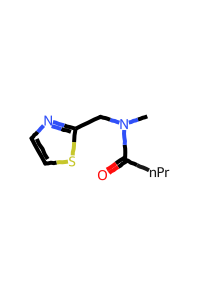 CCCC(=O)N(C)Cc1nccs1